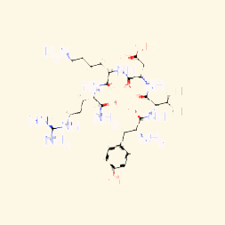 CC(C)[C@@H](NC(=O)[C@H](N)Cc1ccc(O)cc1)C(=O)N[C@H](CC(=O)O)C(=O)N[C@H](CCCCN)C(=O)N[C@H](CCCNC(=N)N)C(N)=O